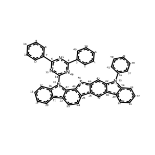 c1ccc(-c2nc(-c3ccccc3)nc(-n3c4ccccc4c4ccc5c6cc7c8ccccc8n(-c8ccccc8)c7cc6sc5c43)n2)cc1